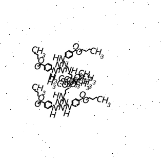 CCCCOC(=O)c1ccc(Nc2nc(NCCC[Si](C)(O[Si](C)(C)C)O[Si](C)(CCCNc3nc(Nc4ccc(C(=O)OCCCC)cc4)nc(Nc4ccc(C(=O)OCCCC)cc4)n3)O[Si](C)(C)C)nc(Nc3ccc(C(=O)OCCCC)cc3)n2)cc1